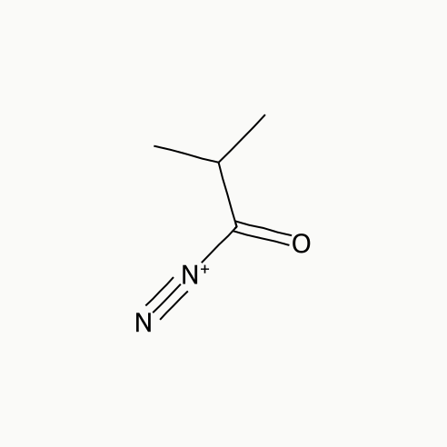 CC(C)C(=O)[N+]#N